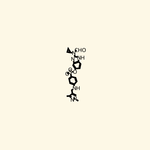 Cc1nn(C)cc1CNc1ccc(S(=O)(=O)Oc2ccc3[nH]c(N(C=O)C4CC4)nc3c2)cc1